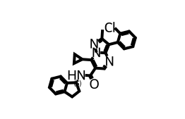 Cc1nn2c(C3CC3)c(C(=O)N[C@H]3CCc4ccccc43)cnc2c1-c1ccccc1Cl